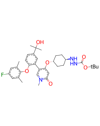 Cc1cc(F)cc(C)c1Oc1ccc(C(C)(C)O)cc1-c1cn(C)c(=O)cc1O[C@H]1CC[C@H](NNC(=O)OC(C)(C)C)CC1